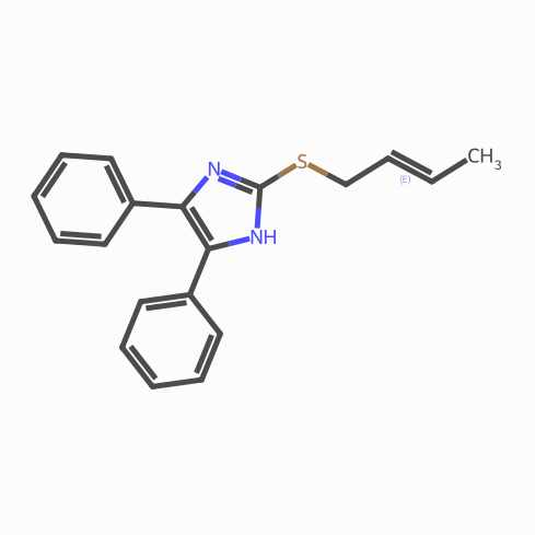 C/C=C/CSc1nc(-c2ccccc2)c(-c2ccccc2)[nH]1